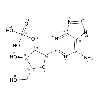 Nc1nc(C2O[C@H](CO)[C@@H](O)[C@@H]2OP(=O)(O)O)nc2nc[nH]c12